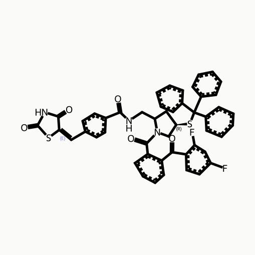 O=C1NC(=O)/C(=C\c2ccc(C(=O)NCC3C[C@@H](SC(c4ccccc4)(c4ccccc4)c4ccccc4)CN3C(=O)c3ccccc3C(=O)c3ccc(F)cc3F)cc2)S1